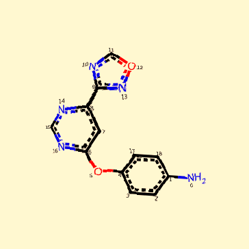 Nc1ccc(Oc2cc(-c3ncon3)ncn2)cc1